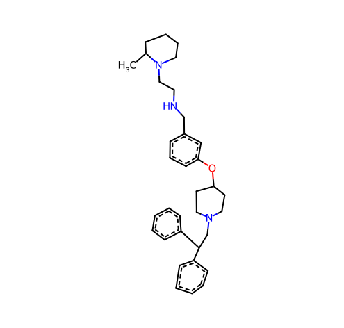 CC1CCCCN1CCNCc1cccc(OC2CCN(CC(c3ccccc3)c3ccccc3)CC2)c1